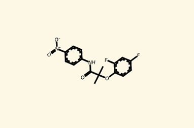 CC(C)(Oc1ccc(F)cc1F)C(=O)Nc1ccc([N+](=O)[O-])cc1